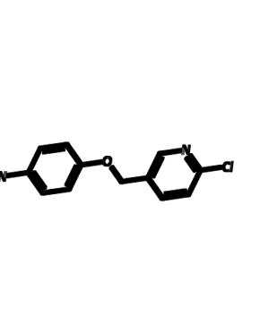 Nc1ccc(OCc2ccc(Cl)nc2)cc1